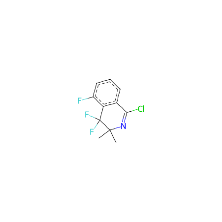 CC1(C)N=C(Cl)c2cccc(F)c2C1(F)F